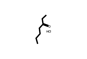 CCCCC(=O)CC.Cl